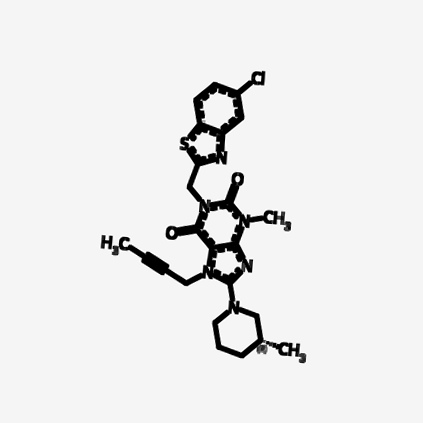 CC#CCn1c(N2CCC[C@@H](C)C2)nc2c1c(=O)n(Cc1nc3cc(Cl)ccc3s1)c(=O)n2C